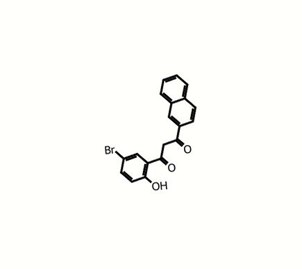 O=C(CC(=O)c1cc(Br)ccc1O)c1ccc2ccccc2c1